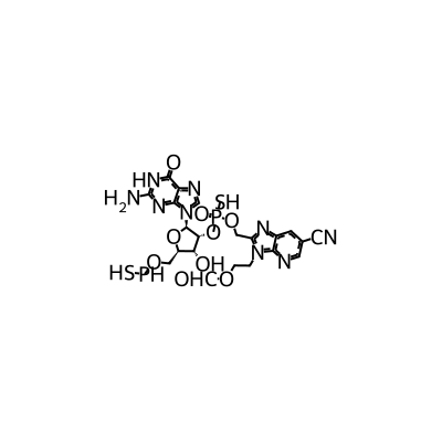 N#Cc1cnc2c(c1)nc(COP(=O)(S)O[C@@H]1[C@H](O)[C@@H](COPS)O[C@H]1n1cnc3c(=O)[nH]c(N)nc31)n2CCOC=O